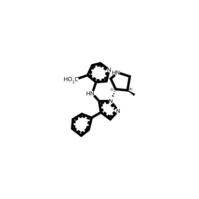 C[C@@H]1CNC[C@H]1n1ncc(-c2ccccc2)c1Nc1cnccc1C(=O)O